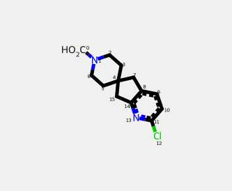 O=C(O)N1CCC2(CC1)Cc1ccc(Cl)nc1C2